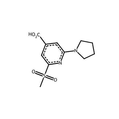 CS(=O)(=O)c1cc(C(=O)O)cc(N2CCCC2)n1